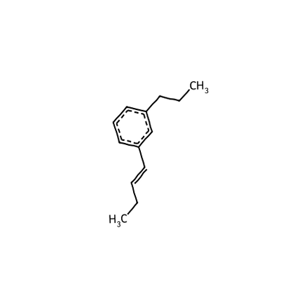 CCC=Cc1cccc(CCC)c1